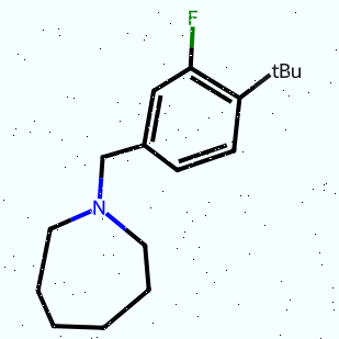 CC(C)(C)c1ccc(CN2CCCCCC2)cc1F